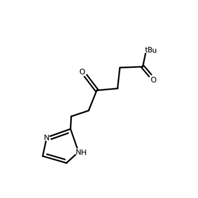 CC(C)(C)C(=O)CCC(=O)CCc1ncc[nH]1